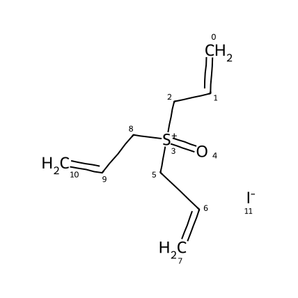 C=CC[S+](=O)(CC=C)CC=C.[I-]